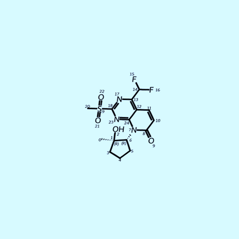 C[C@@]1(O)CCC[C@H]1n1c(=O)ccc2c(C(F)F)nc(S(C)(=O)=O)nc21